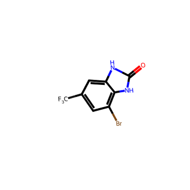 O=c1[nH]c2cc(C(F)(F)F)cc(Br)c2[nH]1